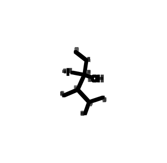 CCC(O)(F)C(C)C(C)C